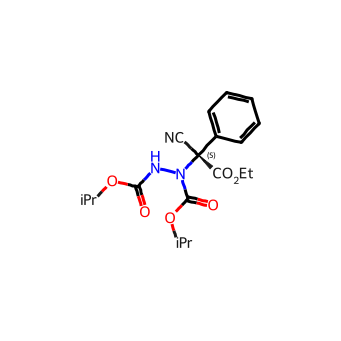 CCOC(=O)[C@@](C#N)(c1ccccc1)N(NC(=O)OC(C)C)C(=O)OC(C)C